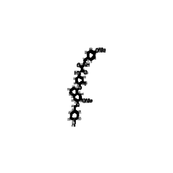 COc1ccc(CNC(=O)C(=O)Nc2ccc(Oc3ccnc4cc(OCC5CCNCC5)c(OC)cc34)c(F)c2)cc1